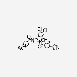 CC(=O)N1CCC(C(=O)N2CC[C@@H](N(C)C(=O)c3ccc(-c4ccncc4)cc3)[C@H](c3ccc(Cl)c(Cl)c3)C2)CC1